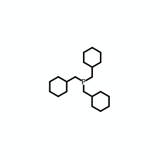 C1CCC(CP(CC2CCCCC2)CC2CCCCC2)CC1